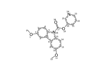 COc1ccc2c(c1)c1cc(OC)ccc1n2C(=O)Oc1cccnc1